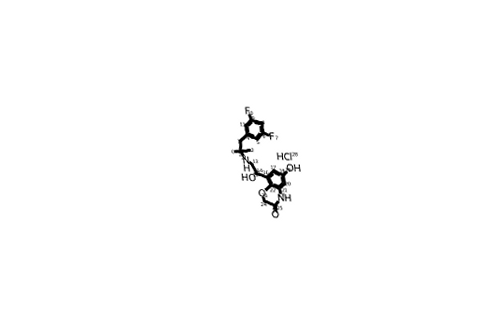 CC(C)(Cc1cc(F)cc(F)c1)NC[C@H](O)c1cc(O)cc2c1OCC(=O)N2.Cl